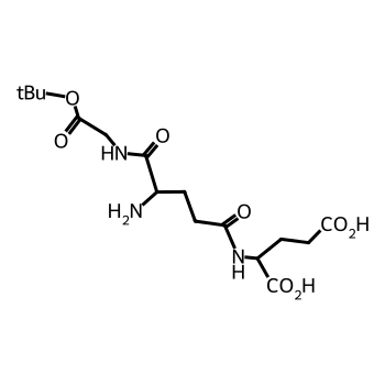 CC(C)(C)OC(=O)CNC(=O)C(N)CCC(=O)NC(CCC(=O)O)C(=O)O